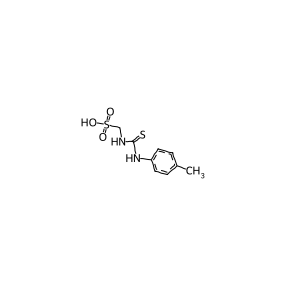 Cc1ccc(NC(=S)NCS(=O)(=O)O)cc1